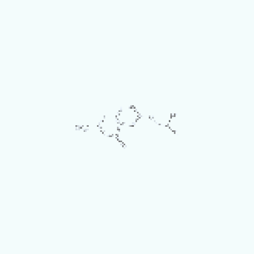 CCOC(=O)c1cc(=O)c2cc(OCC(O)CC)ccc2o1